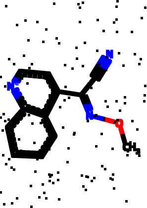 CON=C(C#N)c1ccnc2ccccc12